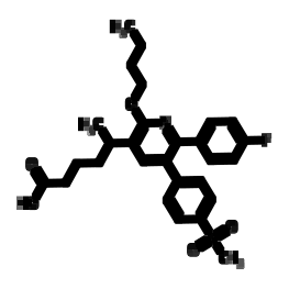 CCCCOc1nc(-c2ccc(F)cc2)c(-c2ccc(S(C)(=O)=O)cc2)cc1C(C)CCCC(=O)O